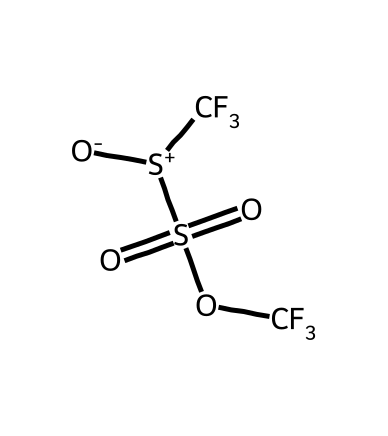 O=S(=O)(OC(F)(F)F)[S+]([O-])C(F)(F)F